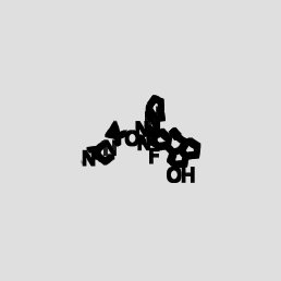 C#Cc1cccc2cc(O)cc(-c3ccc4c(N5CC6CCC(C5)N6)nc(OCC5(CN6CCC7C(C6)CN7C)CC5)nc4c3F)c12